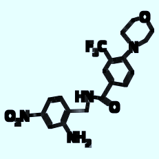 Nc1cc([N+](=O)[O-])ccc1CNC(=O)c1ccc(N2CCOCC2)c(C(F)(F)F)c1